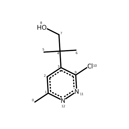 Cc1cc(C(C)(C)CO)c(Cl)nn1